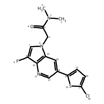 CN(C)C(=O)Cn1cc(F)c2ncc(-c3ccc(Cl)s3)cc21